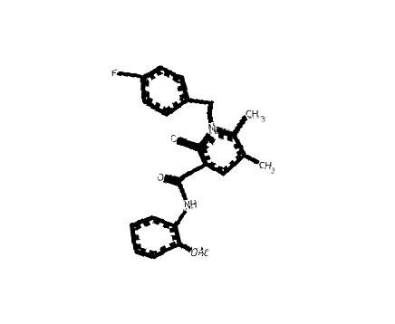 CC(=O)Oc1ccccc1NC(=O)c1cc(C)c(C)n(Cc2ccc(F)cc2)c1=O